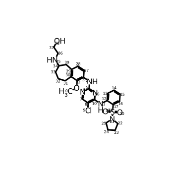 COc1c(Nc2ncc(Cl)c(Nc3ccccc3S(=O)(=O)N3CCCC3)n2)ccc2c1CCCC(NCCO)C2